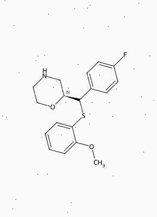 COc1ccccc1SC(c1ccc(F)cc1)[C@@H]1CNCCO1